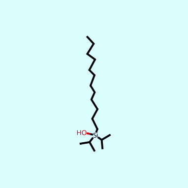 CCCCCCCCCCCC[Si](O)(C(C)C)C(C)C